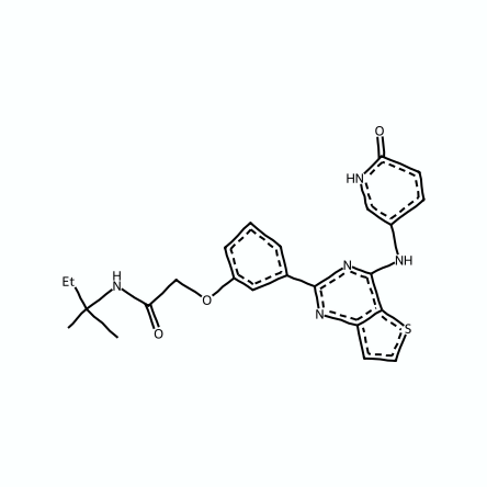 CCC(C)(C)NC(=O)COc1cccc(-c2nc(Nc3ccc(=O)[nH]c3)c3sccc3n2)c1